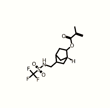 C=C(C)C(=O)OC1CC2C[C@H]1CC2CNS(=O)(=O)C(F)(F)F